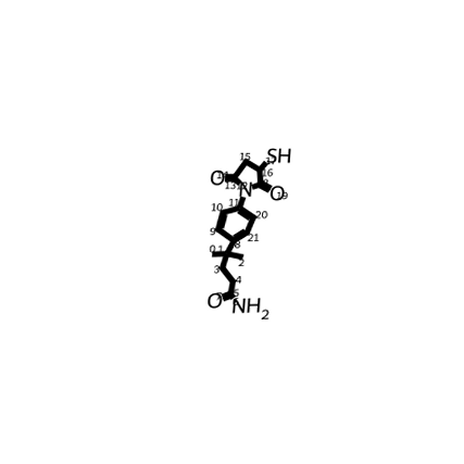 CC(C)(CCC(N)=O)c1ccc(N2C(=O)CC(S)C2=O)cc1